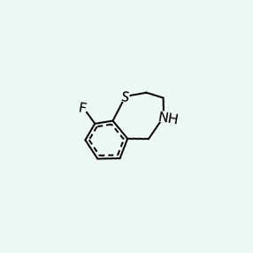 Fc1cccc2c1SCCNC2